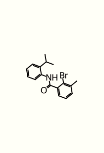 Cc1cccc(C(=O)Nc2ccccc2C(C)C)c1Br